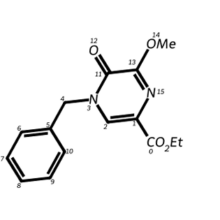 CCOC(=O)c1cn(Cc2ccccc2)c(=O)c(OC)n1